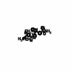 COc1ccc(Nc2nccc(-c3c(-c4cccc(N(C(N)=O)c5cccs5)c4)nc4ccccn34)n2)cc1CN(C)C